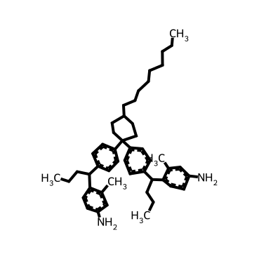 CCCCCCCCCC1CCC(c2ccc(C(CCC)c3ccc(N)cc3C)cc2)(c2ccc(C(CCC)c3ccc(N)cc3C)cc2)CC1